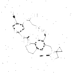 COCC(C)Oc1cc(NC(=O)N2CCCc3cc(CN4C(=C=O)OCC45CC5)c(C=O)nc32)ncc1C#N